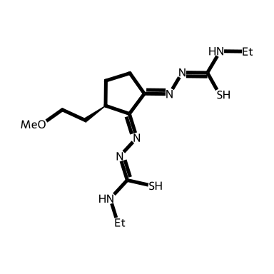 CCN/C(S)=N/N=C1\CC[C@H](CCOC)\C1=N/N=C(\S)NCC